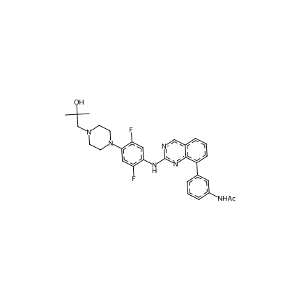 CC(=O)Nc1cccc(-c2cccc3cnc(Nc4cc(F)c(N5CCN(CC(C)(C)O)CC5)cc4F)nc23)c1